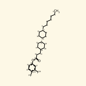 CCCCCCC[C@H]1CC[C@H](C2CCC(CCC(=O)Oc3ccc(F)c(F)c3)CC2)CC1